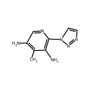 Cc1c(N)cnc(-n2ccnn2)c1N